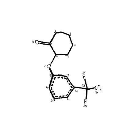 O=C1C[CH]CCC1Oc1cc[c]c(C(F)(F)C(F)(F)F)c1